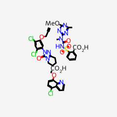 C#CCOc1cc(-n2nc3n(c2=O)CCCC3)c(Cl)cc1Cl.COc1nc(C)nc(N(C)C(=O)NS(=O)(=O)c2ccccc2C(=O)O)n1.O=C(O)COc1ccc(Cl)c2cccnc12